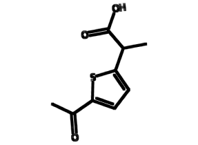 CC(=O)c1ccc(C(C)C(=O)O)s1